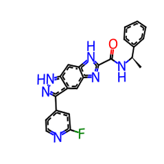 C[C@@H](NC(=O)c1nc2cc3c(-c4ccnc(F)c4)n[nH]c3cc2[nH]1)c1ccccc1